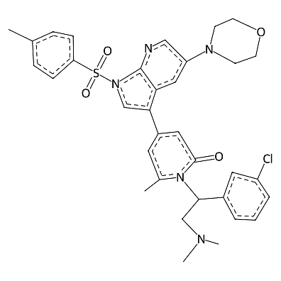 Cc1ccc(S(=O)(=O)n2cc(-c3cc(C)n(C(CN(C)C)c4cccc(Cl)c4)c(=O)c3)c3cc(N4CCOCC4)cnc32)cc1